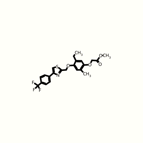 CCc1cc(OCC(=O)OC)c(C)cc1OCc1nc(-c2ccc(C(F)(F)F)cc2)cs1